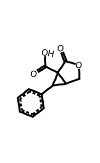 O=C(O)C12C(=O)OCC1C2c1ccccc1